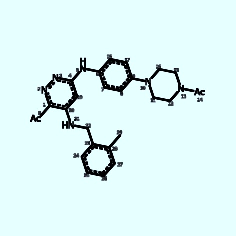 CC(=O)c1nnc(Nc2ccc(N3CCN(C(C)=O)CC3)cc2)cc1NCc1ccccc1C